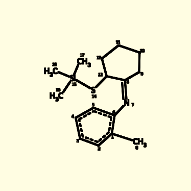 Cc1ccccc1N=C1CCCCC1S[Si](C)(C)C